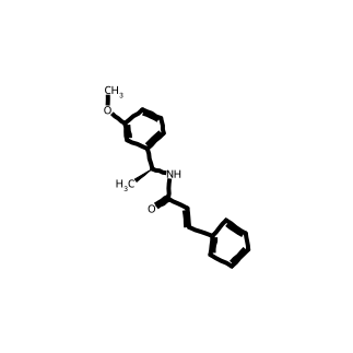 COc1cccc([C@H](C)NC(=O)C=Cc2ccccc2)c1